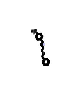 FC(F)(F)c1ccc(/C=C/CCOCc2ccccc2)cc1